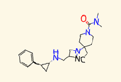 CN(C)C(=O)N1CCC(CC#N)(N2CC(CN[C@@H]3C[C@H]3c3ccccc3)C2)CC1